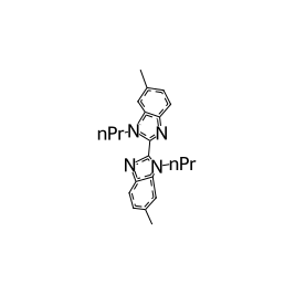 CCCn1c(-c2nc3ccc(C)cc3n2CCC)nc2ccc(C)cc21